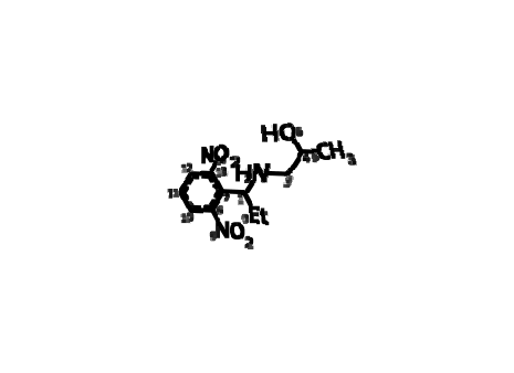 CCC(NCC(C)O)c1c([N+](=O)[O-])cccc1[N+](=O)[O-]